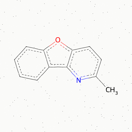 Cc1ccc2oc3ccccc3c2n1